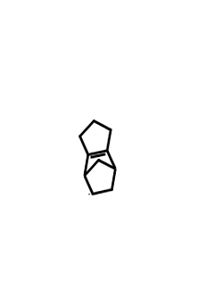 [CH]1CC2CC1C1=C2CCC1